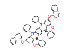 c1ccc(N2c3cc4c(cc3B3c5ccccc5Oc5cc(Oc6cccc7ccccc67)cc2c53)B2c3ccccc3Oc3cc(Oc5cccc6ccccc56)cc(c32)N4c2ccccc2)cc1